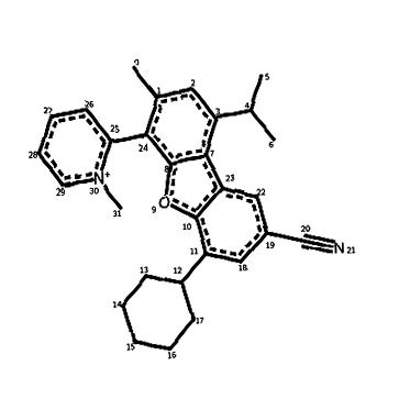 Cc1cc(C(C)C)c2c(oc3c(C4CCCCC4)cc(C#N)cc32)c1-c1cccc[n+]1C